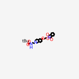 CC(C)(C)OC(=O)NCCN1CCc2cc(OCCON3C(=O)c4ccccc4C3=O)ccc2C1